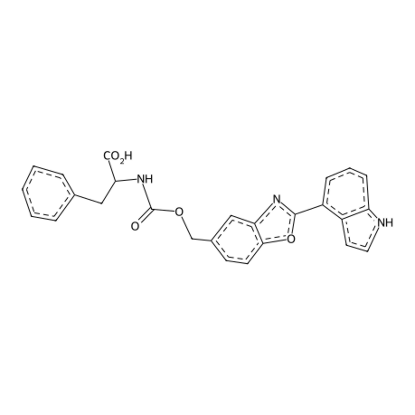 O=C(NC(Cc1ccccc1)C(=O)O)OCc1ccc2oc(-c3cccc4[nH]ccc34)nc2c1